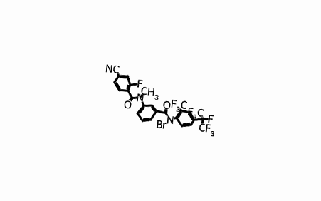 CN(C(=O)c1ccc(C#N)cc1F)c1cccc(C(=O)N(Br)c2ccc(C(F)(C(F)(F)F)C(F)(F)F)cc2C(F)(F)F)c1